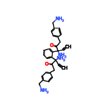 C#CC(N)(C(=O)Cc1ccc(CN)cc1)c1ccccc1C(N)(C#C)C(=O)Cc1ccc(CN)cc1